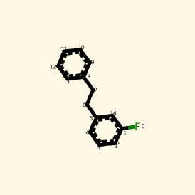 Fc1[c]ccc(CCc2ccccc2)c1